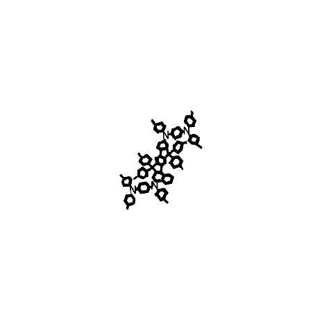 Cc1ccc(N(c2ccc(C)cc2)c2ccc(N(c3ccc(C)cc3)c3ccc4c(c3)C(c3ccc(C)cc3)(c3ccc(C)cc3)c3cc5c(cc3-4)C(c3ccc(C)cc3)(c3ccc(C)cc3)c3cc(N(c4ccc(C)cc4)c4ccc(N(c6ccc(C)cc6)c6ccc(C)cc6)cc4)c4ccccc4c3-5)cc2)cc1